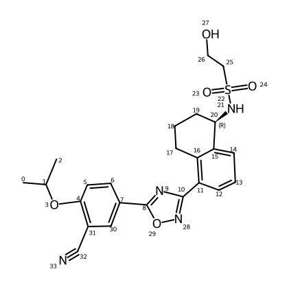 CC(C)Oc1ccc(-c2nc(-c3cccc4c3CCC[C@H]4NS(=O)(=O)CCO)no2)cc1C#N